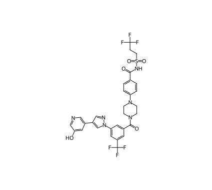 O=C(NS(=O)(=O)CCC(F)(F)F)c1ccc(N2CCN(C(=O)c3cc(-n4cc(-c5cncc(O)c5)cn4)cc(C(F)(F)F)c3)CC2)cc1